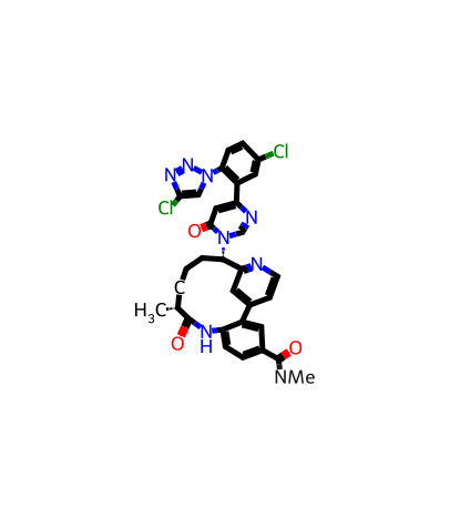 CNC(=O)c1ccc2c(c1)-c1ccnc(c1)[C@@H](n1cnc(-c3cc(Cl)ccc3-n3cc(Cl)nn3)cc1=O)CCC[C@@H](C)C(=O)N2